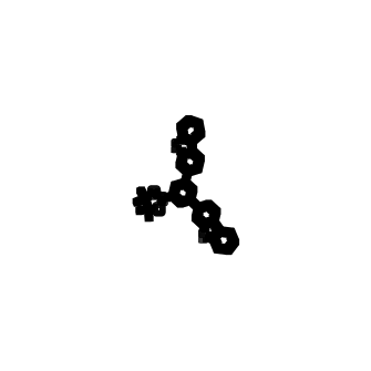 CC1(C)OB(c2cc(-c3ccc4c(c3)sc3ccccc34)cc(-c3ccc4c(c3)sc3ccccc34)c2)OC1(C)C